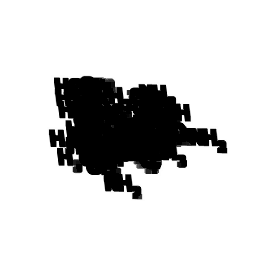 C[C@H](NC(=O)[C@@H](NC(=O)[C@H](CCCCN)NC(=O)[C@@H](Cc1c[nH]c2ccccc12)NC(=O)[C@H](Cc1ccccc1)NC(=O)[C@H](Cc1ccccc1)NC(=O)[C@@H](C)NC(=O)[C@H](CCCCN)NC(=O)[C@H](CS)NC(=O)CNC(=O)[C@@H](C)N)[C@@H](C)O)C(=O)N[C@H](C(=O)N[C@@H](CO)C(=O)N(C1CCCCC1)[C@H](CS)C(=O)O)[C@@H](C)O